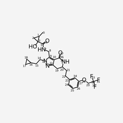 CC1CC1(O)C(=O)NCc1c2c(nn1CCC1CC1)CC(CCc1cccc(OCC(F)(F)F)c1)NC2=O